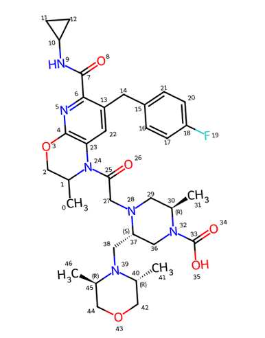 CC1COc2nc(C(=O)NC3CC3)c(Cc3ccc(F)cc3)cc2N1C(=O)CN1C[C@@H](C)N(C(=O)O)C[C@@H]1CN1[C@H](C)COC[C@H]1C